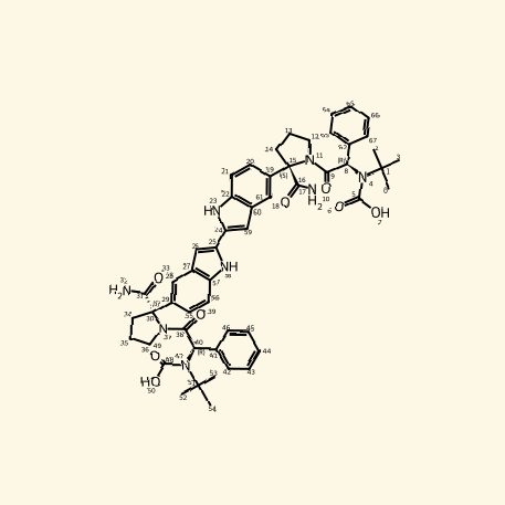 CC(C)(C)N(C(=O)O)[C@@H](C(=O)N1CCC[C@@]1(C(N)=O)c1ccc2[nH]c(-c3cc4cc([C@]5(C(N)=O)CCCN5C(=O)[C@@H](c5ccccc5)N(C(=O)O)C(C)(C)C)ccc4[nH]3)cc2c1)c1ccccc1